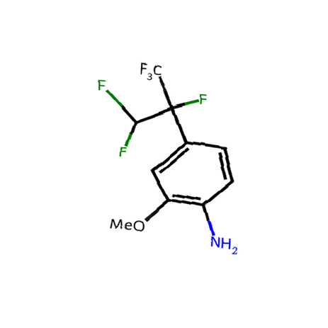 COc1cc(C(F)(C(F)F)C(F)(F)F)ccc1N